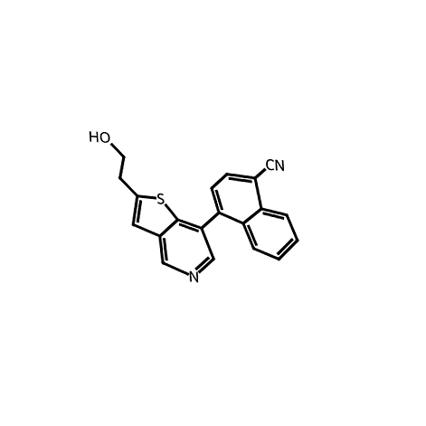 N#Cc1ccc(-c2cncc3cc(CCO)sc23)c2ccccc12